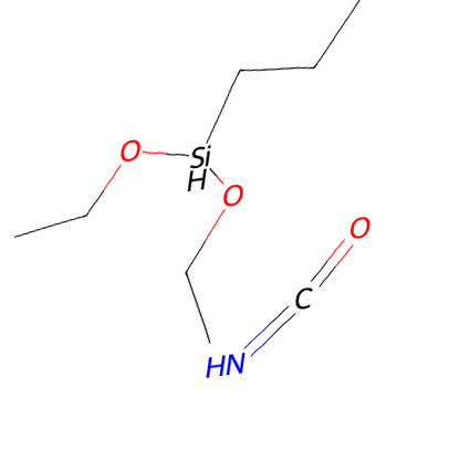 CCC[SiH](OCC)OCC.N=C=O